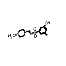 CN1CCN(C=NS(=O)(=O)c2cc(I)cc(C#N)c2)CC1